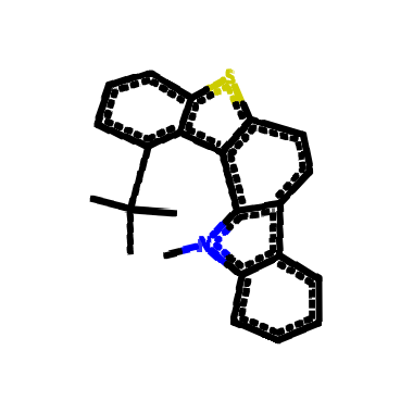 Cn1c2ccccc2c2ccc3sc4cccc(C(C)(C)C)c4c3c21